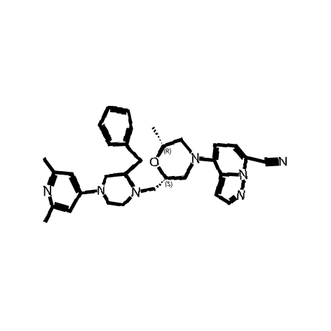 Cc1cc(N2CCN(C[C@H]3CN(c4ccc(C#N)n5nccc45)C[C@@H](C)O3)C(Cc3ccccc3)C2)cc(C)n1